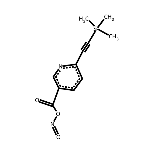 C[Si](C)(C)C#Cc1ccc(C(=O)ON=O)cn1